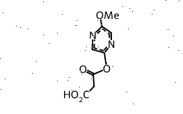 COc1cnc(OC(=O)CC(=O)O)cn1